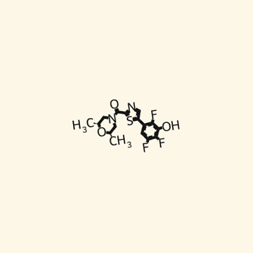 C[C@@H]1CN(C(=O)c2ncc(-c3cc(F)c(F)c(O)c3F)s2)C[C@H](C)O1